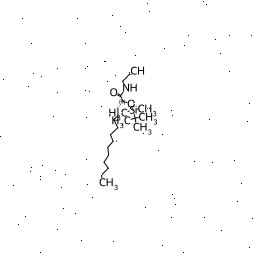 C#CCNC(=O)[C@@H](CCCCC[CH]CCCCCC)O[Si](C)(C)C(C)(C)C